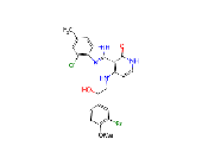 COc1ccc(C(O)CNc2cc[nH]c(=O)c2-c2nc3c(Cl)cc(C(F)(F)F)cc3[nH]2)cc1Br